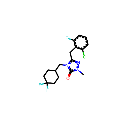 Cn1nc(Cc2c(F)cccc2Cl)n(CC2CCC(F)(F)CC2)c1=O